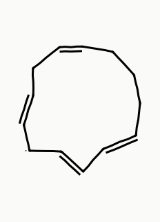 [CH]1/C=C/C=C/CCC/C=C\C/C=C/1